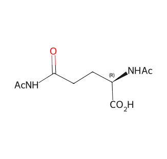 CC(=O)NC(=O)CC[C@@H](NC(C)=O)C(=O)O